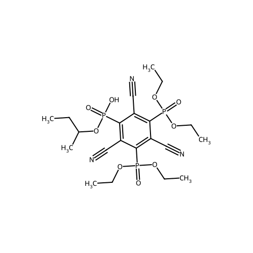 CCOP(=O)(OCC)c1c(C#N)c(P(=O)(O)OC(C)CC)c(C#N)c(P(=O)(OCC)OCC)c1C#N